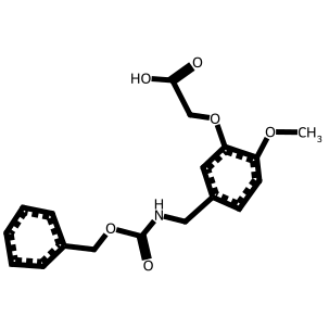 COc1ccc(CNC(=O)OCc2ccccc2)cc1OCC(=O)O